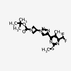 CSc1nc(-c2cn(C3CN(C(=O)OC(C)(C)C)C3)nn2)c(C)c(C(F)F)n1